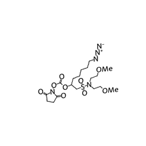 COCCN(CCOC)S(=O)(=O)CC(CCCCCN=[N+]=[N-])OC(=O)ON1C(=O)CCC1=O